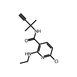 C#CC(C)(C)NC(=O)c1ccc(Cl)nc1NCC